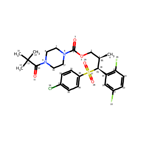 C[C@H](COC(=O)N1CCN(C(=O)C(C)(C)C)CC1)[C@@H](c1cc(F)ccc1F)S(=O)(=O)c1ccc(Cl)cc1